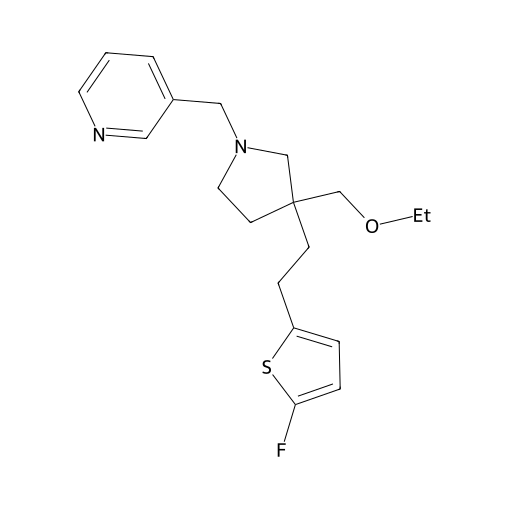 CCOCC1(CCc2ccc(F)s2)CCN(Cc2cccnc2)C1